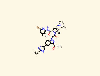 CC(=O)c1nn(CC(=O)N2[C@H](C(=O)Nc3nc(Br)ccc3C)C[C@@]3(CN(C)C)C[C@@H]23)c2ccc(-c3cnc(C)nc3)cc12